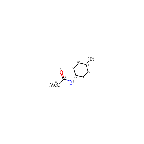 CC[C@H]1CC[C@H](NC(=O)OC)CC1